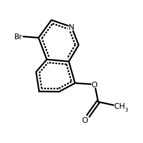 CC(=O)Oc1cccc2c(Br)cncc12